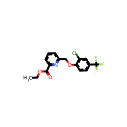 CCOC(=O)c1cccc(COc2ccc(C(F)(F)F)cc2Cl)n1